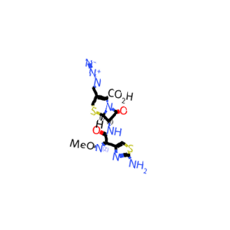 CO/N=C(\C(=O)N[C@@H]1C(=O)N2C(C(=O)O)=C(CN=[N+]=[N-])CS[C@H]12)c1csc(N)n1